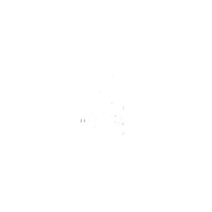 CC1=C2C(OC(=O)C(O)CCOCO)C(=O)C3(C)C(O)CC4OCC4C3CC(O)(CC1)C2(C)C